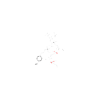 C=Cc1ccc(CC[SiH2]C(C)(CC)O[Si](C)(C)CC[Si](O[Si](C)(C)C)(O[Si](C)(C)C)O[Si](C)(C)CC[Si](O[Si](C)(C)C)(O[Si](C)(C)C)O[Si](C)(C)CC[Si](O[Si](C)(C)C)(O[Si](C)(C)C)O[Si](C)(C)CCC)cc1